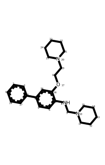 c1ccc(-c2ccc(NCN3CCCCC3)c(OCCN3CCCCC3)c2)cc1